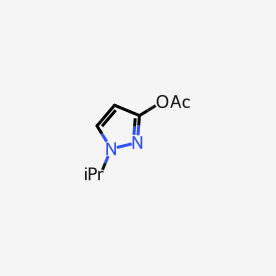 CC(=O)Oc1ccn(C(C)C)n1